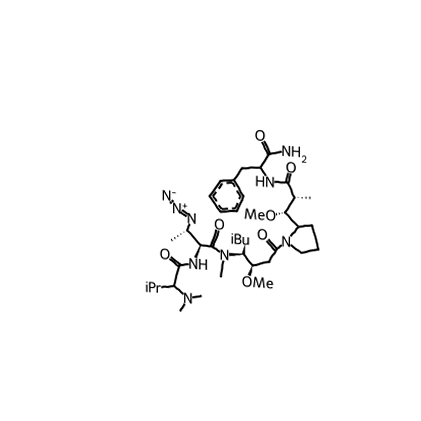 CC[C@H](C)[C@@H]([C@@H](CC(=O)N1CCCC1[C@H](OC)[C@@H](C)C(=O)NC(Cc1ccccc1)C(N)=O)OC)N(C)C(=O)[C@@H](NC(=O)C(C(C)C)N(C)C)[C@H](C)N=[N+]=[N-]